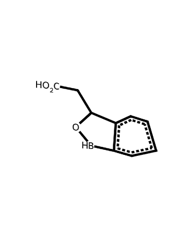 O=C(O)CC1OBc2ccccc21